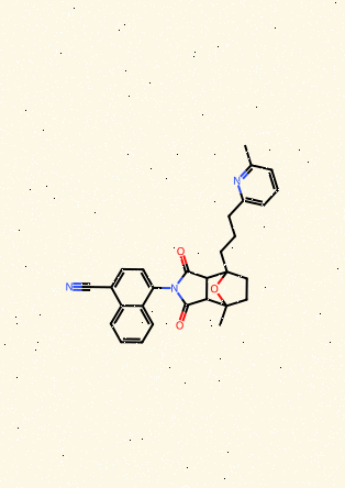 Cc1cccc(CCCC23CCC(C)(O2)C2C(=O)N(c4ccc(C#N)c5ccccc45)C(=O)C23)n1